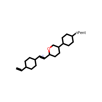 C=CC1CCC(/C=C/C2CCC(C3CCC(CCCCC)CC3)CO2)CC1